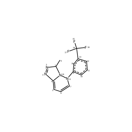 CC1N=NC2=CC=CN(c3cccc(C(F)(F)F)c3)N21